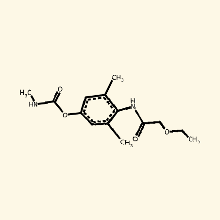 CCOCC(=O)Nc1c(C)cc(OC(=O)NC)cc1C